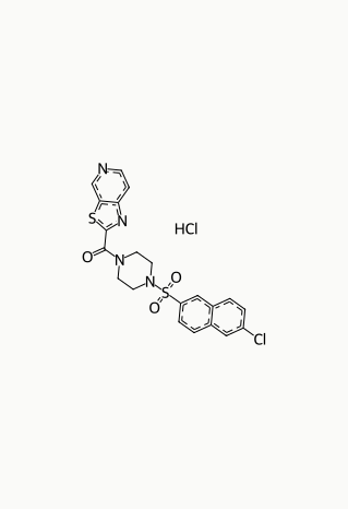 Cl.O=C(c1nc2ccncc2s1)N1CCN(S(=O)(=O)c2ccc3cc(Cl)ccc3c2)CC1